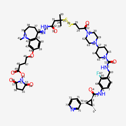 C[C@H]1[C@H](C(=O)Nc2ccc(CNC(=O)N3CCC(N4CCN(C(=O)CCSSC(C)(C)CC(=O)N/N=C5\CCCN(C)c6cc(OCCCC(=O)ON7C(=O)CCC7=O)ccc65)CC4)CC3)c(F)c2)[C@H]1c1cccnc1